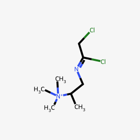 CC(CN=C(Cl)CCl)[N+](C)(C)C